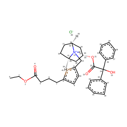 CCOC(=O)CCCc1ccc(C[N+]2(C)[C@@H]3CC[C@H]2C[C@H](OC(=O)C(O)(c2ccccc2)c2ccccc2)C3)s1.[Cl-]